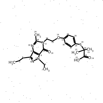 CCCc1nn(CC)c2c(=O)n(CCOc3ccc(SC(C)(C)C(=O)O)cc3)c(C)nc12